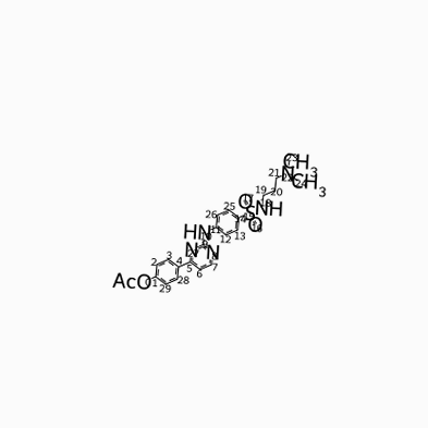 CC(=O)Oc1ccc(-c2ccnc(Nc3ccc(S(=O)(=O)NCCCN(C)C)cc3)n2)cc1